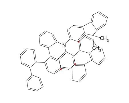 CC1(C)c2ccccc2-c2ccc(N(c3ccccc3-c3ccccc3-c3ccccc3-c3ccccc3)c3ccccc3-c3cccc4cccc(-c5ccccc5)c34)cc21